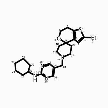 CCc1cc2c(s1)CCOC21CCN(Cc2cnc(NC3CCCCC3)nc2)CC1